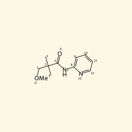 COCC(C)(C)C(=O)Nc1ccccn1